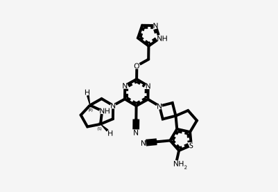 N#Cc1c(N2C[C@H]3CC[C@@H](C2)N3)nc(OCc2ccn[nH]2)nc1N1CC2(CCc3sc(N)c(C#N)c32)C1